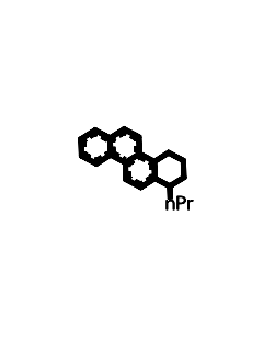 [CH2]CCC1CCCc2c1ccc1c2ccc2ccccc21